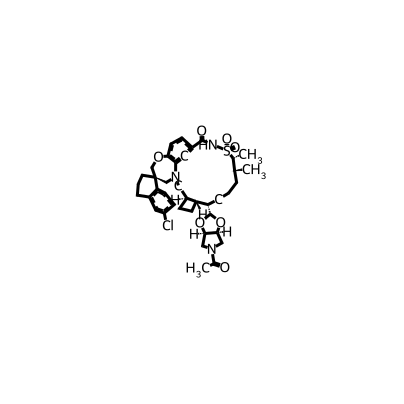 CC(=O)N1C[C@@H]2OC([C@H]3CCC[C@H](C)[C@@H](C)S(=O)(=O)NC(=O)c4ccc5c(c4)N(C[C@@H]4CC[C@H]43)C[C@@]3(CCCc4cc(Cl)ccc43)CO5)O[C@@H]2C1